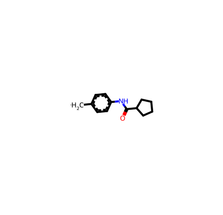 [CH2]c1ccc(NC(=O)C2CCCC2)cc1